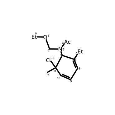 CCOCN(C(C)=O)C1C(CC)=CC=CC1(C)Cl